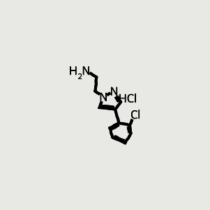 Cl.NCCn1cc(-c2ccccc2Cl)cn1